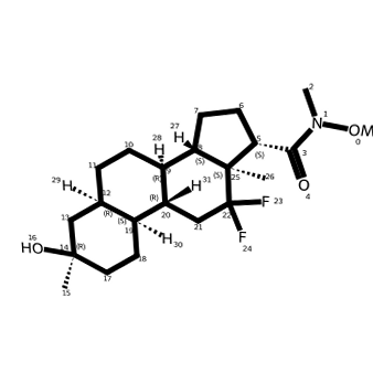 CON(C)C(=O)[C@H]1CC[C@H]2[C@@H]3CC[C@@H]4C[C@](C)(O)CC[C@@H]4[C@H]3CC(F)(F)[C@]12C